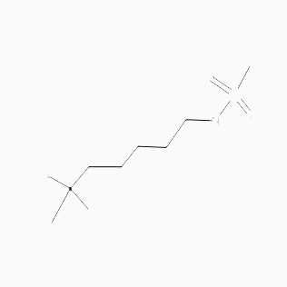 CCCCC(C)(C)CCCCCNS(C)(=O)=O